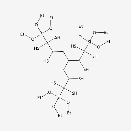 CCO[Si](OCC)(OCC)C(S)(S)C(S)CC(CC(S)C(S)(S)[Si](OCC)(OCC)OCC)C(S)C(S)(S)[Si](OCC)(OCC)OCC